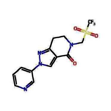 O=C1c2cn(-c3cccnc3)nc2CCN1CS(=O)(=O)C(F)(F)F